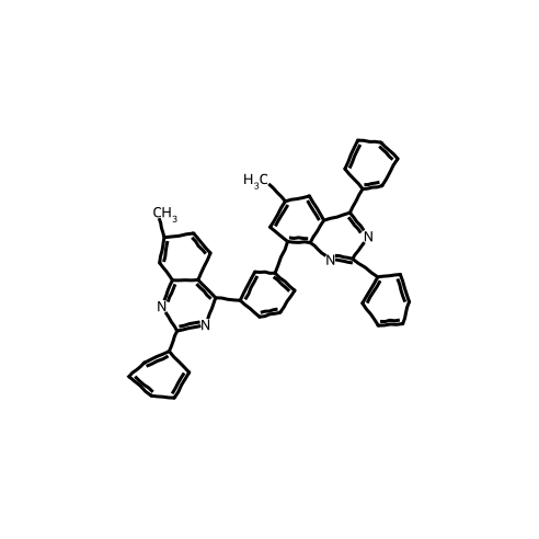 Cc1ccc2c(-c3cccc(-c4cc(C)cc5c(-c6ccccc6)nc(-c6ccccc6)nc45)c3)nc(-c3ccccc3)nc2c1